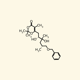 CC1=C(C[C@@H](O)C(C)(O)C[C@@H](C)COCc2ccccc2)OC(C)(C)OC1=O